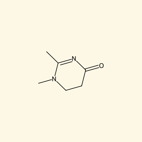 CC1=NC(=O)CCN1C